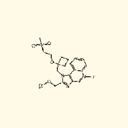 CCOCc1nc2c[n+]([O-])c3ccccc3c2n1CC1(OCCS(C)(=O)=O)CCC1